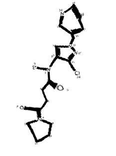 CCN(C(=O)CCC(=O)N1CCCC1)c1cn(-c2cccnc2)nc1Cl